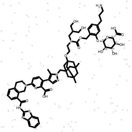 Cc1c(-c2ccc(N3CCc4cccc(C(=O)Nc5nc6ccccc6s5)c4C3)nc2C(=O)O)cnn1CC12CC3(C)CC(C)(C1)CC(OCCN(CC(CO)CO)C(=O)OCc1ccc(CCCN)cc1O[C@@H]1O[C@H](C(=O)O)[C@@H](O)[C@H](O)[C@H]1O)(C3)C2